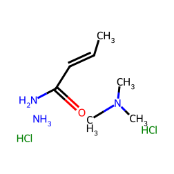 CC=CC(N)=O.CN(C)C.Cl.Cl.N